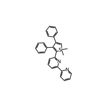 C[Si]1(C)C=C(c2ccccc2)C(c2ccccc2)=C1c1cccc(-c2ccccn2)n1